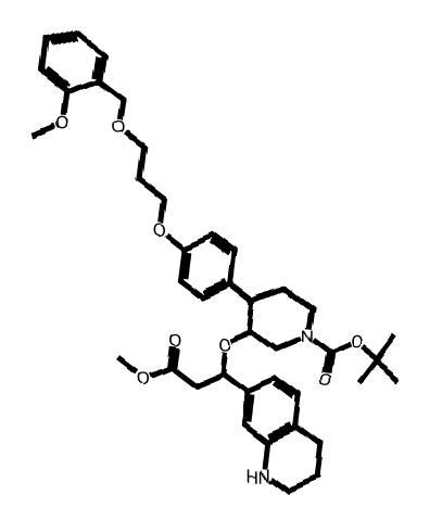 COC(=O)CC(OC1CN(C(=O)OC(C)(C)C)CCC1c1ccc(OCCCOCc2ccccc2OC)cc1)c1ccc2c(c1)NCCC2